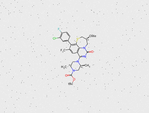 CO[C@@H]1CSc2c(-c3ccc(F)c(Cl)c3)c(C(F)(F)F)cc3c(N4C[C@@H](C)N(C(=O)OC(C)(C)C)C[C@@H]4C)nc(=O)n(c23)C1